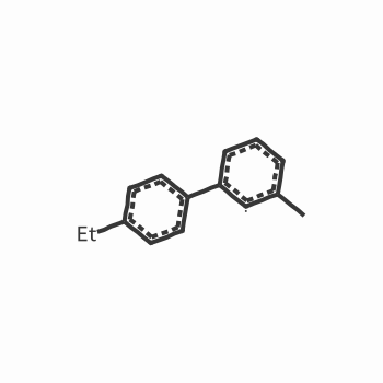 CCc1ccc(-c2[c]c(C)ccc2)cc1